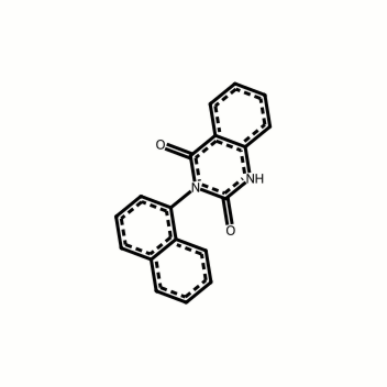 O=c1[nH]c2ccccc2c(=O)n1-c1cccc2ccccc12